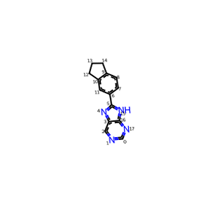 c1ncc2nc(-c3ccc4c(c3)CCC4)[nH]c2n1